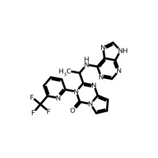 CC(Nc1ncnc2[nH]cnc12)c1nc2cccn2c(=O)n1-c1cccc(C(F)(F)F)n1